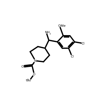 COc1cc(Cl)c(Cl)cc1C(N)C1CCN(C(=O)OC(C)(C)C)CC1